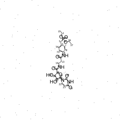 CCOP(=O)(Cc1ccc(NC(=O)CCNC(=O)[C@H]2O[C@@H](n3ccc(=O)[nH]c3=O)[C@H](O)[C@@H]2O)cc1)OCC